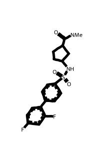 CNC(=O)C1CCC(NS(=O)(=O)c2ccc(-c3ccc(F)cc3F)cc2)C1